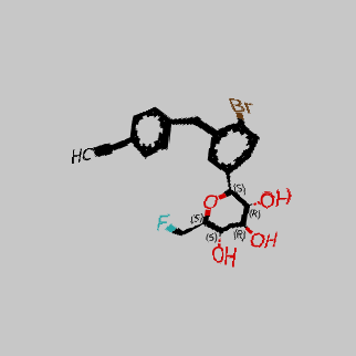 C#Cc1ccc(Cc2cc([C@@H]3O[C@H](CF)[C@@H](O)[C@H](O)[C@H]3O)ccc2Br)cc1